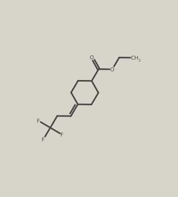 CCOC(=O)C1CCC(=CCC(F)(F)F)CC1